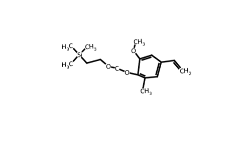 C=Cc1cc(C)c(OCOCC[Si](C)(C)C)c(OC)c1